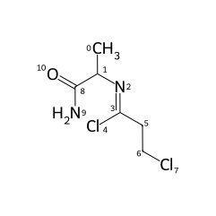 CC(N=C(Cl)CCCl)C(N)=O